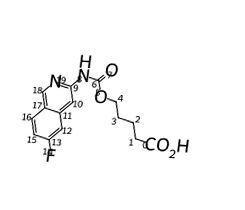 O=C(O)CCCCOC(=O)Nc1cc2cc(F)ccc2cn1